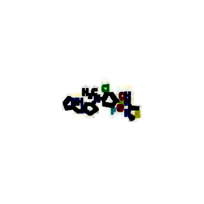 CN(c1cc(F)c(S(=O)(=O)Nc2cscn2)cc1Cl)C1CCN(Cc2ccc[nH]2)C1